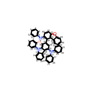 c1ccc(N2B3c4ccccc4-n4c5ccccc5c5c(N(c6ccccc6)c6ccccc6)cc(c3c54)-c3c2ccc2oc4ccccc4c32)cc1